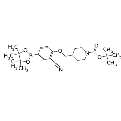 CC(C)(C)OC(=O)N1CCC(COc2ccc(B3OC(C)(C)C(C)(C)O3)cc2C#N)CC1